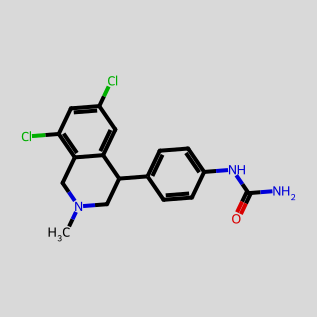 CN1Cc2c(Cl)cc(Cl)cc2C(c2ccc(NC(N)=O)cc2)C1